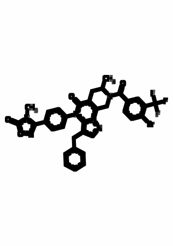 CC1Cc2c(n3ncc(Cc4ccccc4)c3n(-c3ccc(-c4noc(=O)n4C)cc3)c2=O)CN1C(=O)c1ccc(Br)c(C(F)(F)F)c1